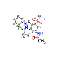 CC(=O)Nc1cc2c(c(S(N)(=O)=O)c1)CN(c1ccccc1Cl)N2CC(F)F